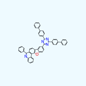 c1ccc(-c2ccc(-c3nc(-c4ccc(-c5ccccc5)cc4)nc(-c4ccc5oc6c(ccc7c(-c8ccccc8)nc8ccccc8c76)c5c4)n3)cc2)cc1